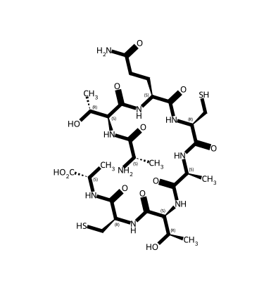 C[C@H](N)C(=O)N[C@H](C(=O)N[C@@H](CCC(N)=O)C(=O)N[C@@H](CS)C(=O)N[C@@H](C)C(=O)N[C@H](C(=O)N[C@@H](CS)C(=O)N[C@@H](C)C(=O)O)[C@@H](C)O)[C@@H](C)O